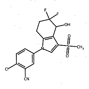 CS(=O)(=O)c1cn(-c2ccc(Cl)c(C#N)c2)c2c1C(O)C(F)(F)CC2